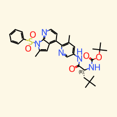 Cc1cc(NC(=O)[C@@H](CC(C)(C)C)NC(=O)OC(C)(C)C)cnc1-c1ccnc2c1cc(C)n2S(=O)(=O)c1ccccc1